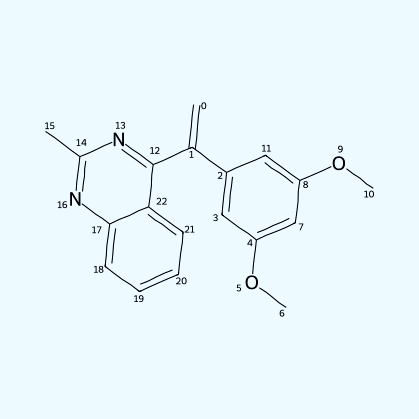 C=C(c1cc(OC)cc(OC)c1)c1nc(C)nc2ccccc12